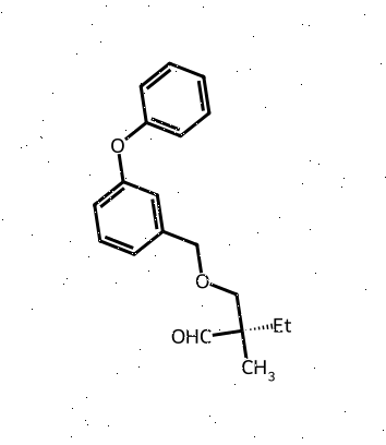 CC[C@](C)(C=O)COCc1cccc(Oc2ccccc2)c1